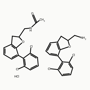 CC(=O)NCC1Cc2cccc(-c3c(Cl)cccc3Cl)c2O1.Cl.NCC1Cc2cccc(-c3c(Cl)cccc3Cl)c2O1